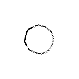 C1=CC=CCCCCCCCCCCCCCCCCCCCCCCCCC=CC=C1